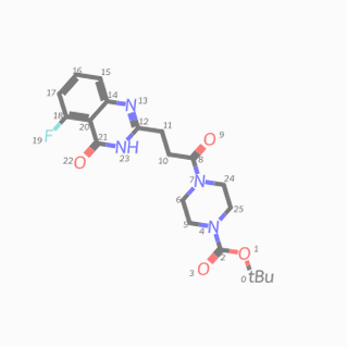 CC(C)(C)OC(=O)N1CCN(C(=O)CCc2nc3cccc(F)c3c(=O)[nH]2)CC1